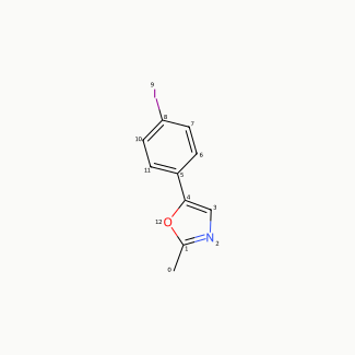 Cc1ncc(-c2ccc(I)cc2)o1